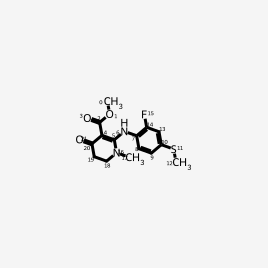 COC(=O)C1=C(Nc2ccc(SC)cc2F)N(C)CCC1=O